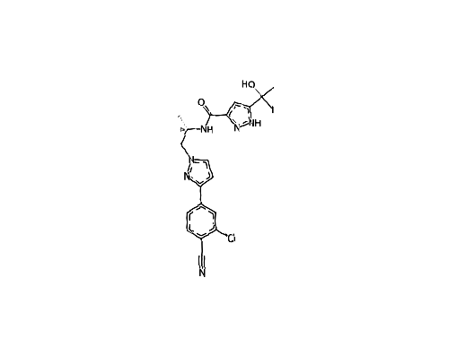 C[C@@H](Cn1ccc(-c2ccc(C#N)c(Cl)c2)n1)NC(=O)c1cc(C(C)(O)I)[nH]n1